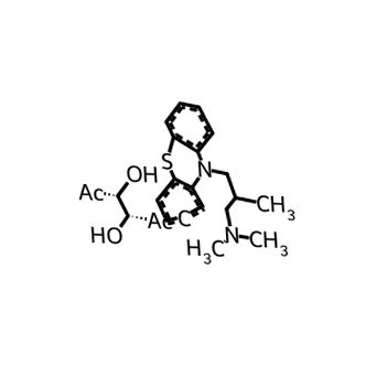 CC(=O)[C@H](O)[C@@H](O)C(C)=O.CC(CN(C)C)CN1c2ccccc2Sc2ccccc21